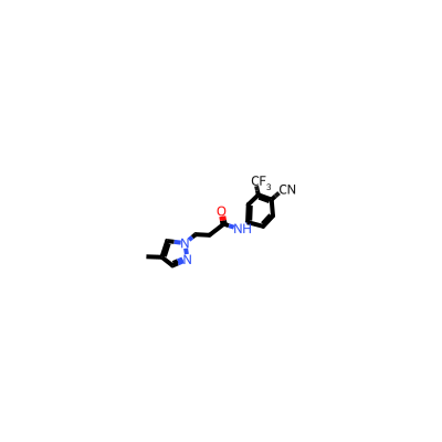 Cc1cnn(CCC(=O)Nc2ccc(C#N)c(C(F)(F)F)c2)c1